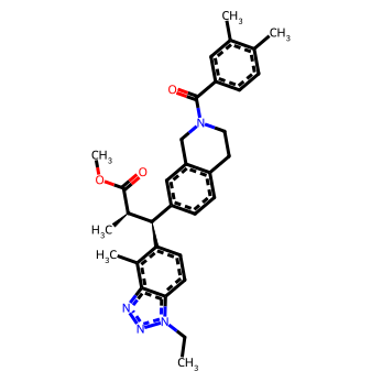 CCn1nnc2c(C)c([C@H](c3ccc4c(c3)CN(C(=O)c3ccc(C)c(C)c3)CC4)[C@@H](C)C(=O)OC)ccc21